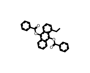 CCc1cccc2c(OC(=O)c3ccccc3)c3ccccc3c(OC(=O)c3ccccc3)c12